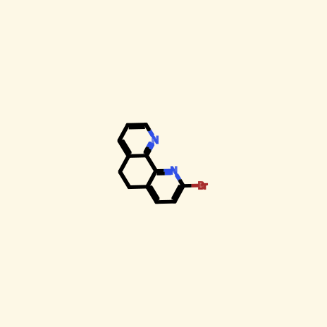 Brc1ccc2c(n1)-c1ncccc1CC2